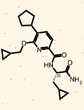 NC(=O)[C@H](CC1CC1)NC(=O)c1ccc(C2CCCC2)c(OCC2CC2)n1